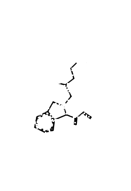 CCCC(N)CN1Cc2ccccc2C1C(=O)C=O